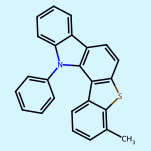 Cc1cccc2c1sc1ccc3c4ccccc4n(-c4ccccc4)c3c12